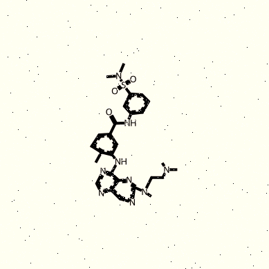 Cc1ccc(C(=O)Nc2cccc(S(=O)(=O)N(C)C)c2)cc1Nc1ncnc2cnc(N(C)CCN(C)C)nc12